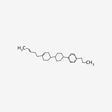 C/C=C/CCC1=CCC(C2CCC(c3ccc(CCC)cc3)CC2)CC1